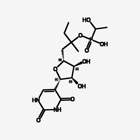 CCC(C)(C[C@H]1O[C@@H](c2c[nH]c(=O)[nH]c2=O)[C@H](O)[C@@H]1O)OP(=O)(O)C(C)O